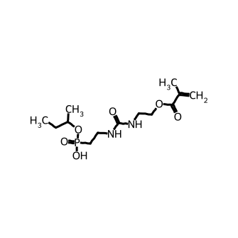 C=C(C)C(=O)OCCNC(=O)NCCP(=O)(O)OC(C)CC